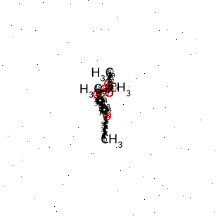 CCCCCCCCOc1ccc(-c2ccc(OC(C)COC(=O)C(C)OCCCC)cc2)cc1